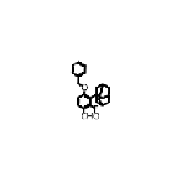 O=Cc1ccc(OCc2ccccc2)c(C23CC4CC(CC(C4)C2)C3)c1F